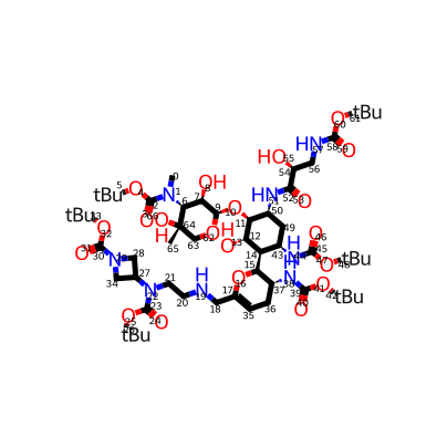 CN(C(=O)OC(C)(C)C)[C@@H]1[C@@H](O)[C@@H](O[C@@H]2[C@@H](O)[C@H](C3OC(CNCCN(C(=O)OC(C)(C)C)C4CN(C(=O)OC(C)(C)C)C4)=CC[C@H]3NC(=O)OC(C)(C)C)[C@@H](NC(=O)OC(C)(C)C)C[C@H]2NC(=O)[C@@H](O)CNC(=O)OC(C)(C)C)OC[C@]1(C)O